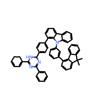 CC1(C)c2ccccc2-c2c(-c3cccc(-n4c5ccccc5c5cccc(-c6ccc(C7N=C(c8ccccc8)N=C(C8=CC=CCC8)N7)cc6)c54)c3)cccc21